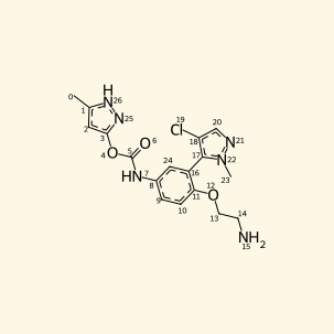 Cc1cc(OC(=O)Nc2ccc(OCCN)c(-c3c(Cl)cnn3C)c2)n[nH]1